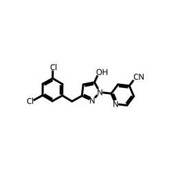 N#Cc1ccnc(-n2nc(Cc3cc(Cl)cc(Cl)c3)cc2O)c1